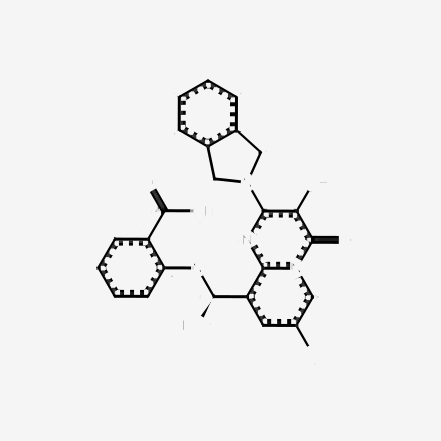 Cc1c(N2Cc3ccccc3C2)nc2c([C@@H](C)Nc3ccccc3C(=O)O)cc(F)cn2c1=O